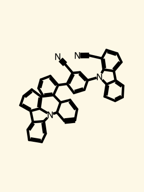 N#Cc1cc(-n2c3ccccc3c3cccc(C#N)c32)ccc1-c1ccccc1C1C=CC#CC1n1c2ccccc2c2ccccc21